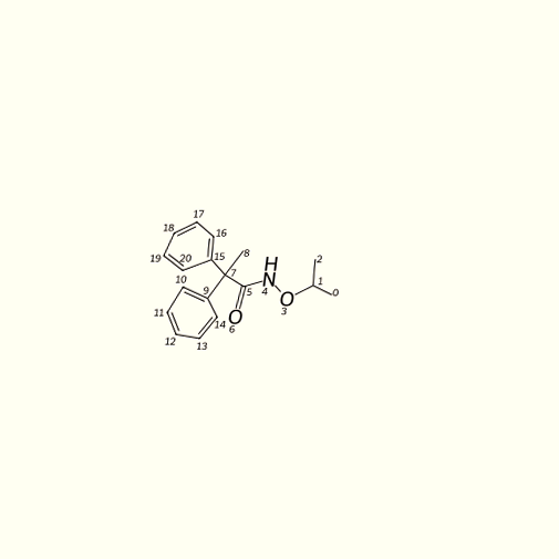 CC(C)ONC(=O)C(C)(c1ccccc1)c1ccccc1